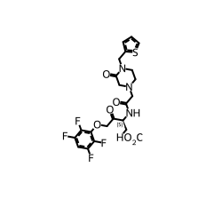 O=C(O)C[C@H](NC(=O)CN1CCN(Cc2cccs2)C(=O)C1)C(=O)COc1c(F)c(F)cc(F)c1F